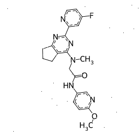 COc1ccc(NC(=O)CN(C)c2nc(-c3cc(F)ccn3)nc3c2CCC3)cn1